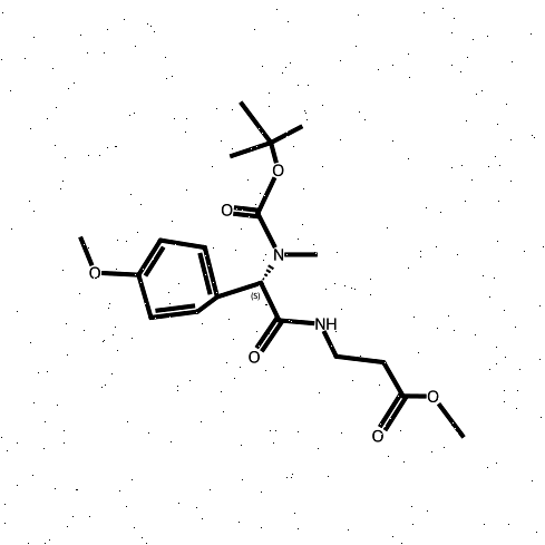 COC(=O)CCNC(=O)[C@H](c1ccc(OC)cc1)N(C)C(=O)OC(C)(C)C